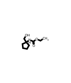 CCOC(=O)NC1(CO)CCCC1